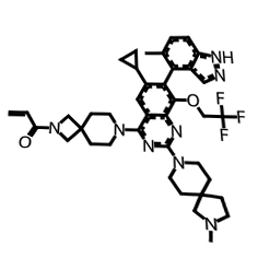 C=CC(=O)N1CC2(CCN(c3nc(N4CCC5(CCN(C)C5)CC4)nc4c(OCC(F)(F)F)c(-c5c(C)ccc6[nH]ncc56)c(C5CC5)cc34)CC2)C1